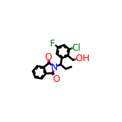 CCC(c1cc(F)cc(Cl)c1CO)N1C(=O)c2ccccc2C1=O